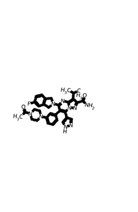 CC(=O)N1CCN(c2cccc(-c3c(N4Cc5ccc(F)cc5C4)nc4c(C(C)C)c(C(N)=O)nn4c3-c3cn[nH]c3)c2)CC1